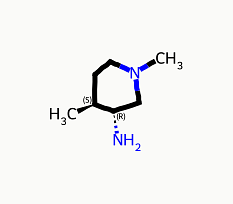 C[C@H]1CCN(C)C[C@@H]1N